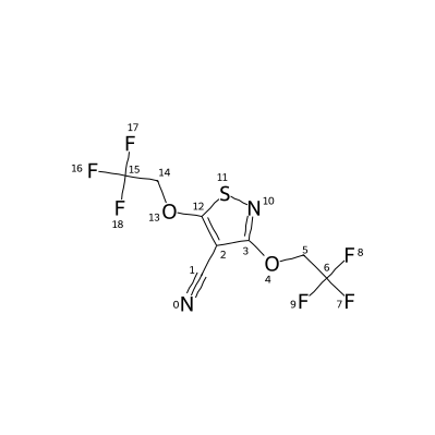 N#Cc1c(OCC(F)(F)F)nsc1OCC(F)(F)F